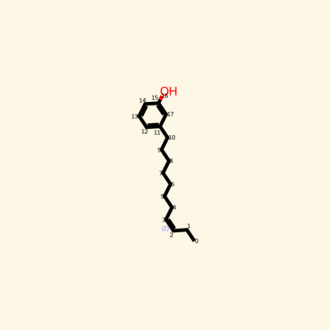 CC/C=C\CCCCCCCc1cccc(O)c1